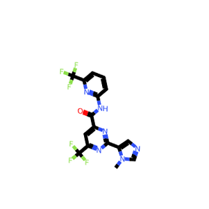 Cn1cncc1-c1nc(C(=O)Nc2cccc(C(F)(F)F)n2)cc(C(F)(F)F)n1